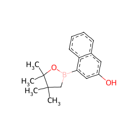 CC1(C)CB(c2cc(O)cc3ccccc23)OC1(C)C